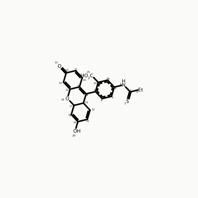 CCC(=S)Nc1ccc(C2=C3C=CC(=O)C=C3OC3C=C(O)C=CC23)c(C(=O)O)c1